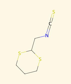 S=C=NCC1SCCCS1